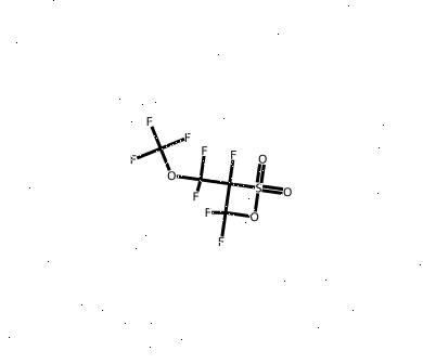 O=S1(=O)OC(F)(F)C1(F)C(F)(F)OC(F)(F)F